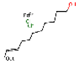 CCCCCCCC/C=C/CCCCCCCCO.[Cl-].[Cl-].[Pd+2]